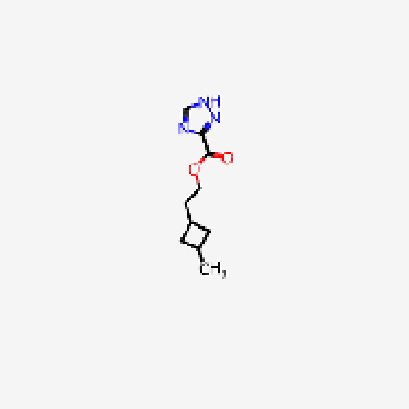 CC1CC(CCOC(=O)c2nc[nH]n2)C1